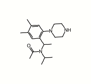 CC(=O)N(C(C)C)C(C)c1cc(C)c(C)cc1N1CCNCC1